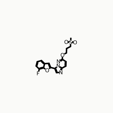 CS(=O)(=O)CCCOc1ccc2ncc(-c3cc4cccc(F)c4o3)n2n1